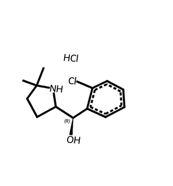 CC1(C)CCC([C@H](O)c2ccccc2Cl)N1.Cl